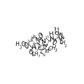 COc1cc2c(cc1OC)-c1cc(=Nc3c(C)cccc3C)n(CCNC(=O)c3c(O)nnn3C)c(=O)n1CC2